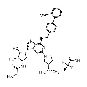 CCC(=O)N[C@H]1C[C@@H](n2cnc3c(NCc4ccc(-c5ccccc5C#N)cc4)nc(N4CC[C@@H](N(C)C)C4)nc32)[C@H](O)[C@@H]1O.O=C(O)C(F)(F)F